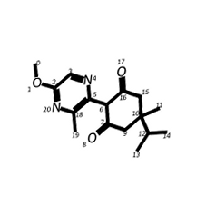 COc1cnc(C2C(=O)CC(C)(C(C)C)CC2=O)c(C)n1